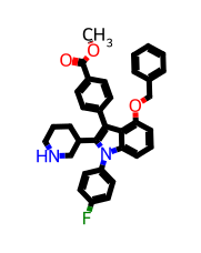 COC(=O)c1ccc(-c2c(C3CCCNC3)n(-c3ccc(F)cc3)c3cccc(OCc4ccccc4)c23)cc1